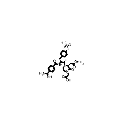 COC(=O)C[C@H]1C(=O)N(CC(=O)O)CCN1C(=O)[C@H](Cc1ccc(OS(C)(=O)=O)cc1)NC(=O)c1ccc(C(=N)N)cc1